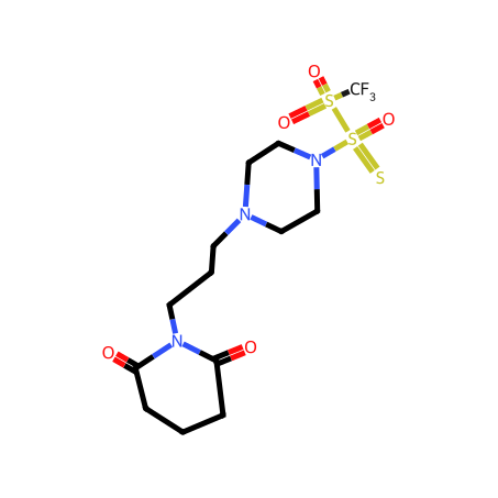 O=C1CCCC(=O)N1CCCN1CCN(S(=O)(=S)S(=O)(=O)C(F)(F)F)CC1